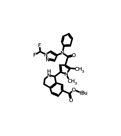 Cc1c(C(=O)N(c2ccccc2)c2cnn(C(F)F)c2)cc(C2NCCc3ccc(C(=O)OC(C)(C)C)cc32)n1C